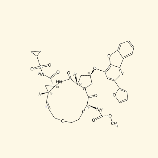 COC(=O)N[C@H]1CCCCC/C=C\[C@@H]2C[C@@]2(C(=O)NS(=O)(=O)C2CC2)NC(=O)[C@@H]2C[C@@H](Oc3cc(-c4ccco4)nc4c3oc3ccccc34)CN2C1=O